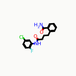 NC(=O)c1ccccc1CC[CH]C(=O)Nc1cc(Cl)ccc1F